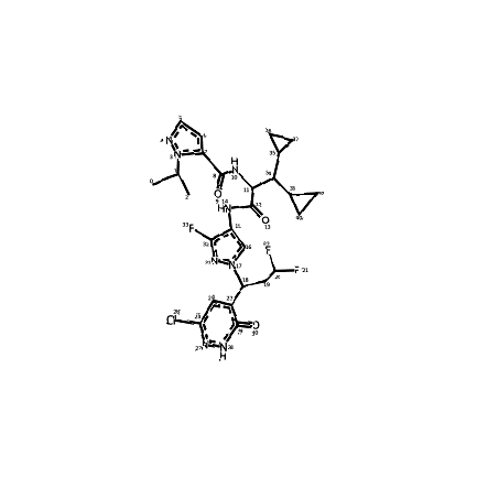 CC(C)n1nccc1C(=O)NC(C(=O)Nc1cn(C(CC(F)F)c2cc(Cl)n[nH]c2=O)nc1F)C(C1CC1)C1CC1